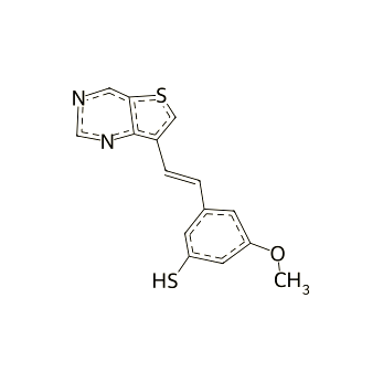 COc1cc(S)cc(/C=C/c2csc3cncnc23)c1